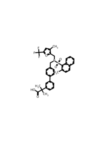 Cc1cc(C(F)(F)F)oc1CN(Cc1ccc(-c2cccc(C(C)(C)C(=O)O)c2)cc1)S(=O)(=O)c1c(C)ccc2ccccc12